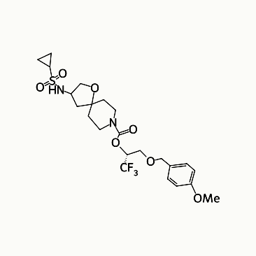 COc1ccc(COC[C@@H](OC(=O)N2CCC3(CC2)CC(NS(=O)(=O)C2CC2)CO3)C(F)(F)F)cc1